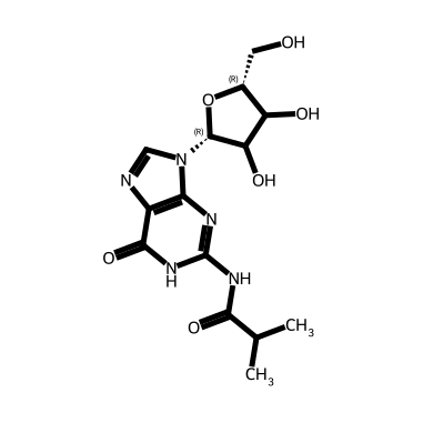 CC(C)C(=O)Nc1nc2c(ncn2[C@@H]2O[C@H](CO)C(O)C2O)c(=O)[nH]1